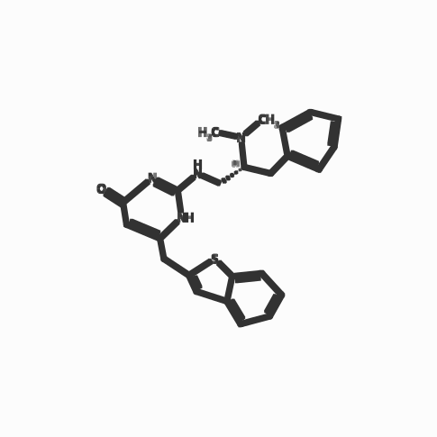 CN(C)[C@@H](CNc1nc(=O)cc(Cc2cc3ccccc3s2)[nH]1)Cc1ccccc1